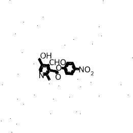 Cc1ncc(CO)c(C=O)c1C(=O)Oc1ccc([N+](=O)[O-])cc1